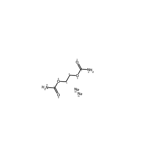 NC(=O)OCCOC(N)=O.[Na].[Na]